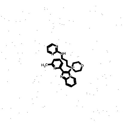 Cc1cccc(-c2nc3ccccn3c2[N+]2(CCCNc3ncccn3)CCOCC2)n1